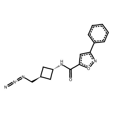 [N-]=[N+]=NC[C@H]1C[C@H](NC(=O)c2cc(-c3ccccc3)no2)C1